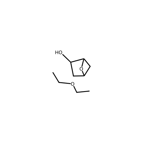 CCOCC.OC1CC2CC1O2